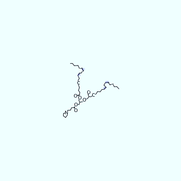 CCCCC/C=C\C/C=C\CCCCCCCC(=O)OCC(COCC(C=O)CCCCCC/C=C\C/C=C\CCCCC)COC(=O)CCCN1CCCC1